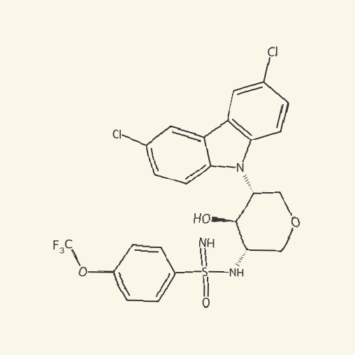 N=S(=O)(N[C@H]1COC[C@@H](n2c3ccc(Cl)cc3c3cc(Cl)ccc32)[C@@H]1O)c1ccc(OC(F)(F)F)cc1